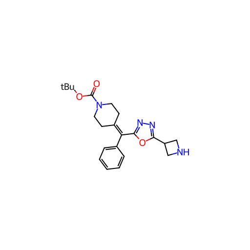 CC(C)(C)OC(=O)N1CCC(=C(c2ccccc2)c2nnc(C3CNC3)o2)CC1